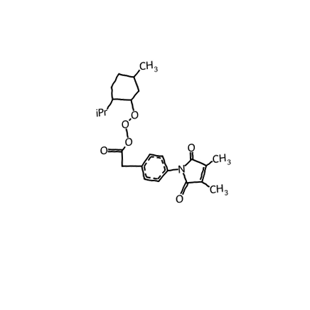 CC1=C(C)C(=O)N(c2ccc(CC(=O)OOOC3CC(C)CCC3C(C)C)cc2)C1=O